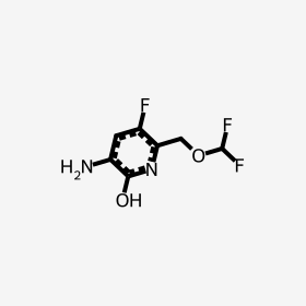 Nc1cc(F)c(COC(F)F)nc1O